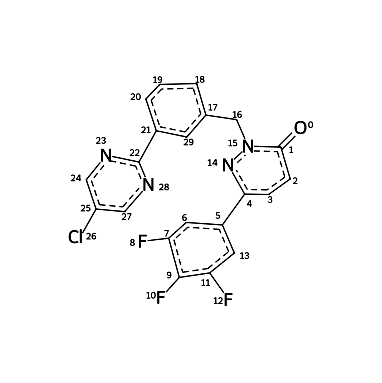 O=c1ccc(-c2cc(F)c(F)c(F)c2)nn1Cc1cccc(-c2ncc(Cl)cn2)c1